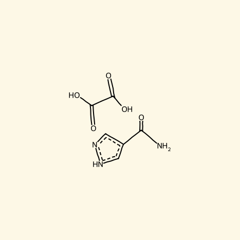 NC(=O)c1cn[nH]c1.O=C(O)C(=O)O